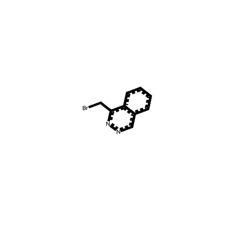 BrCc1nncc2ccccc12